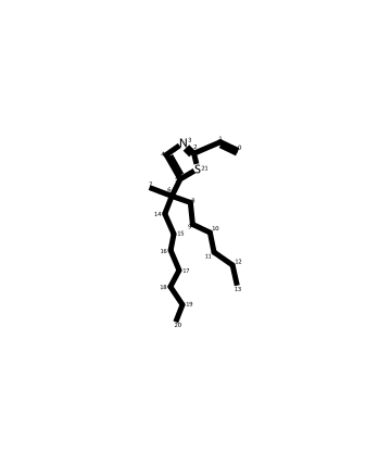 C=Cc1ncc(C(C)(CCCCCC)CCCCCCC)s1